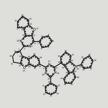 C1=C(c2nc(-c3ccccc3)c3oc4ccccc4c3n2)c2c(oc3cc(-c4nc(-c5ccccc5)nc(-c5cccc6c5c5ccccc5n6-c5ccccc5)n4)ccc23)CC1